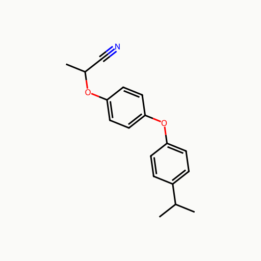 CC(C#N)Oc1ccc(Oc2ccc(C(C)C)cc2)cc1